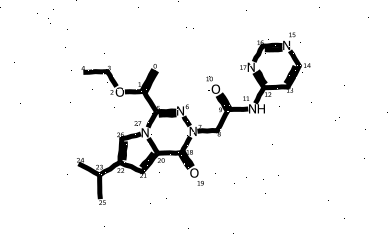 C=C(OCC)c1nn(CC(=O)Nc2ccncn2)c(=O)c2cc(C(C)C)cn12